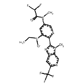 CC[S+]([O-])c1cc(N(C)C(=O)C(F)F)cnc1-c1nc2cc(C(F)(F)F)ncc2n1C